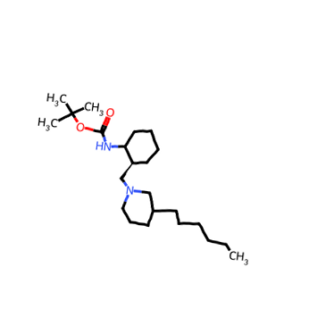 CCCCCCC1CCCN(C[C@@H]2CCCCC2NC(=O)OC(C)(C)C)C1